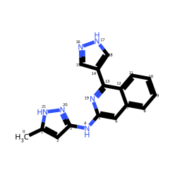 Cc1cc(Nc2cc3ccccc3c(-c3cn[nH]c3)n2)n[nH]1